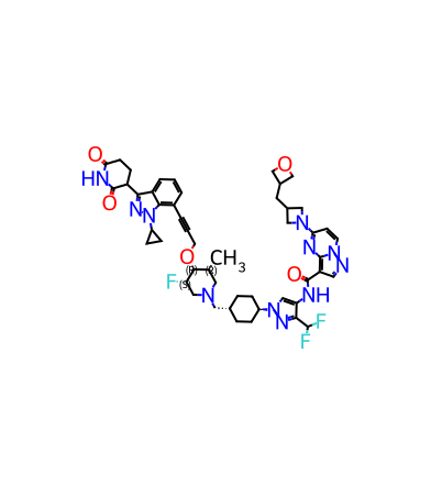 C[C@@H]1CN(C[C@H]2CC[C@H](n3cc(NC(=O)c4cnn5ccc(N6CC(CC7COC7)C6)nc45)c(C(F)F)n3)CC2)C[C@H](F)[C@@H]1OCC#Cc1cccc2c(C3CCC(=O)NC3=O)nn(C3CC3)c12